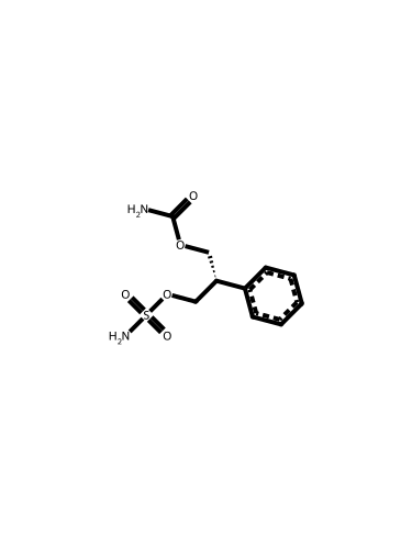 NC(=O)OC[C@@H](COS(N)(=O)=O)c1ccccc1